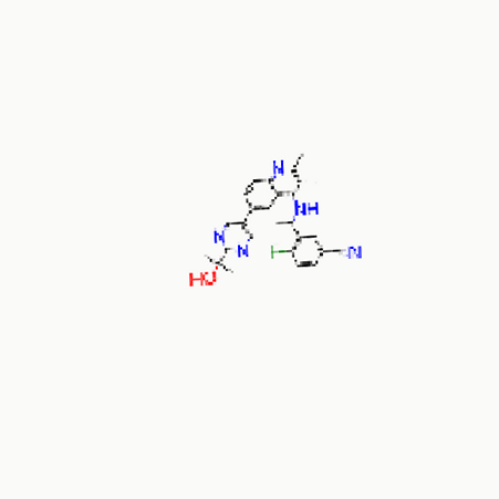 Cc1nc2ccc(-c3cnc(C(C)(C)O)nc3)cc2c(NC(C)c2cc(C#N)ccc2F)c1C